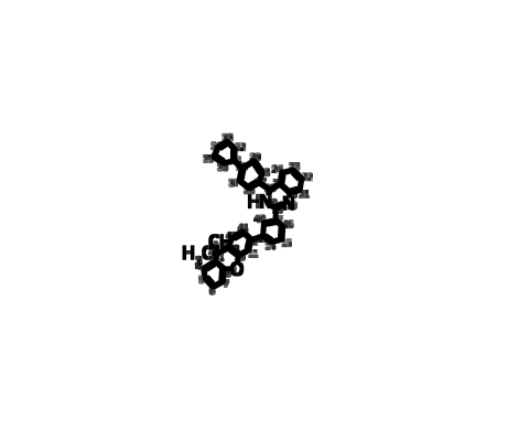 CC1(C)c2ccccc2Oc2cc(-c3cccc(C4=Nc5ccccc5C(c5ccc(-c6ccccc6)cc5)N4)c3)ccc21